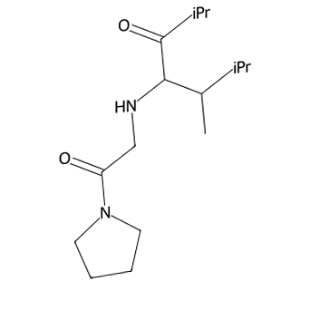 CC(C)C(=O)C(NCC(=O)N1CCCC1)C(C)C(C)C